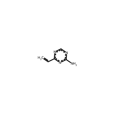 C=Cc1ncnc(N)n1